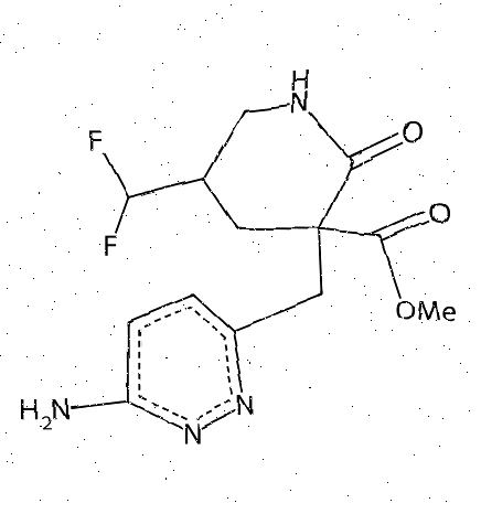 COC(=O)C1(Cc2ccc(N)nn2)CC(C(F)F)CNC1=O